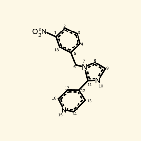 O=[N+]([O-])c1cccc(Cn2ccnc2-c2ccncc2)c1